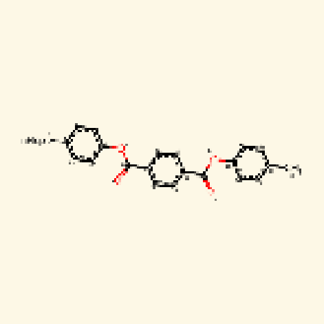 CCCCCCCc1ccc(OC(=O)c2ccc(C(=O)Oc3ccc(C)cc3)cc2)cc1